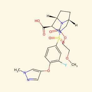 COCCOC(=O)N1[C@@H]2CC[C@H]1[C@H](C(=O)O)N(S(=O)(=O)c1ccc(Oc3cnn(C)c3)c(F)c1)C2